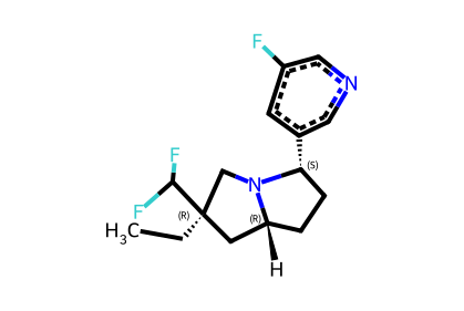 CC[C@@]1(C(F)F)C[C@H]2CC[C@@H](c3cncc(F)c3)N2C1